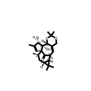 CC1=C[C@]23C(=O)[C@@H](C=C4COC(C)(C)O[C@H]4[C@]2(O)[C@H]1N)[C@H]1[C@@H](C[C@H]3C)C1(C)C